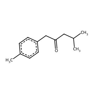 Cc1ccc(CC(=O)CC(C)C)cc1